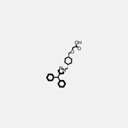 O=C(O)COC[C@H]1CC[C@H](Cn2cc(C(c3ccccc3)c3ccccc3)cn2)CC1